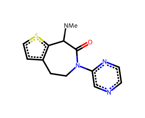 CNC1C(=O)N(c2cnccn2)CCc2ccsc21